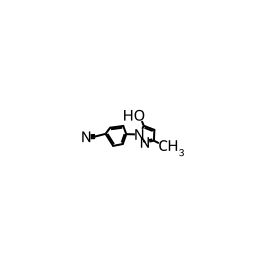 Cc1cc(O)n(-c2ccc(C#N)cc2)n1